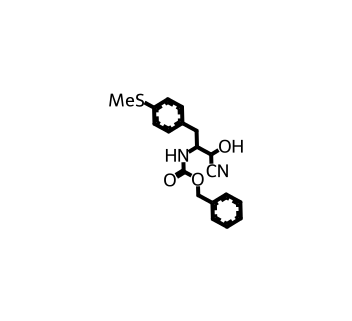 CSc1ccc(CC(NC(=O)OCc2ccccc2)C(O)C#N)cc1